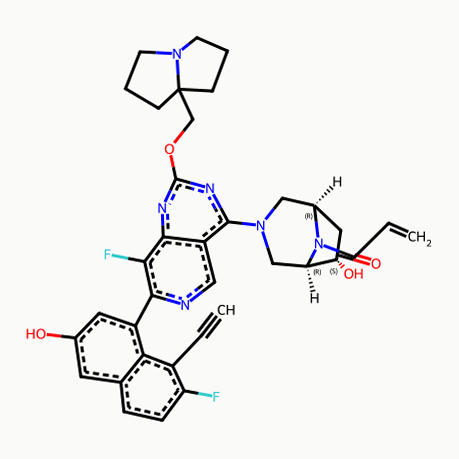 C#Cc1c(F)ccc2cc(O)cc(-c3ncc4c(N5C[C@H]6C[C@H](O)[C@@H](C5)N6C(=O)C=C)nc(OCC56CCCN5CCC6)nc4c3F)c12